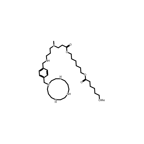 COCCCCCC(=O)OCCCCCCOC(=O)CCN(C)CCCNCc1ccc(CN2CCCNCCNCCCNCC2)cc1